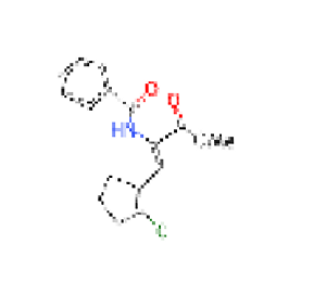 COC(=O)/C(=C/C1=C(Cl)CCC1)NC(=O)c1ccccc1